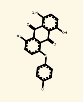 O=C1c2c(O)ccc([N+](=O)[O-])c2C(=O)c2c(O)ccc(Sc3ccc(Cl)cc3)c21